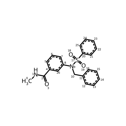 CNC(=O)c1cccc(N(Cc2ccccc2)S(=O)(=O)c2ccccc2)c1